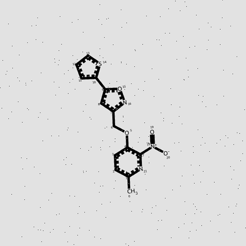 Cc1ccc(OCc2cc(-c3cccs3)on2)c([N+](=O)[O-])n1